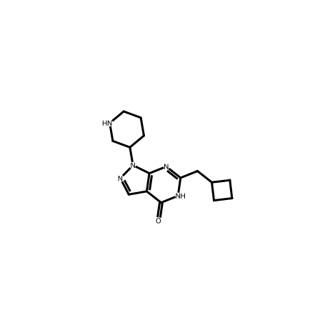 O=c1[nH]c(CC2CCC2)nc2c1cnn2C1CCCNC1